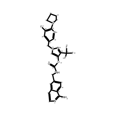 Nc1nccc2cc(CNC(=O)Oc3cn(Cc4cnc(N5CCCC5)c(F)c4)nc3C(F)(F)F)ccc12